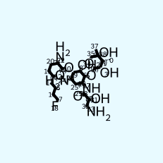 C[C@@H]1C(O)[C@@H](OC2C(O)C(O[C@H]3O[C@H](CCCCF)CCC3N)[C@@H](N)C[C@H]2NC(=O)[C@@H](O)CN)OCC1(C)O